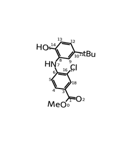 COC(=O)c1ccc(Nc2cc(C(C)(C)C)ccc2O)c(Cl)c1